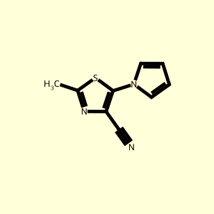 Cc1nc(C#N)c(-n2cccc2)s1